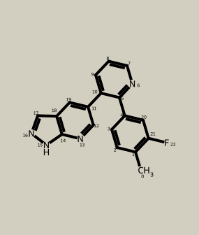 Cc1ccc(-c2ncccc2-c2cnc3[nH]ncc3c2)cc1F